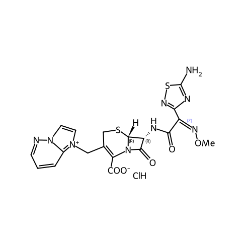 CO/N=C(\C(=O)N[C@@H]1C(=O)N2C(C(=O)[O-])=C(C[n+]3ccn4ncccc43)CS[C@H]12)c1nsc(N)n1.Cl